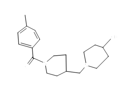 CC1CCN(CC2CCN(C(=O)c3ccc(F)cc3)CC2)CC1